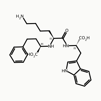 NCCCC[C@H](N[C@H](CCc1ccccc1)C(=O)O)C(=O)N[C@@H](Cc1c[nH]c2ccccc12)C(=O)O